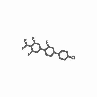 FC(F)C1C(F)CC(C2CCC(C3CCC(Cl)CC3)CC2F)CC1F